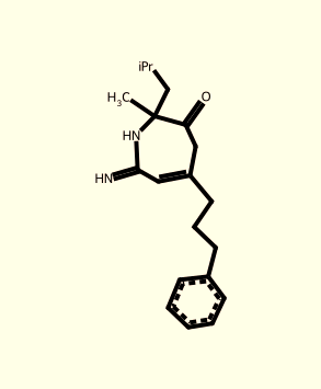 CC(C)CC1(C)NC(=N)C=C(CCCc2ccccc2)CC1=O